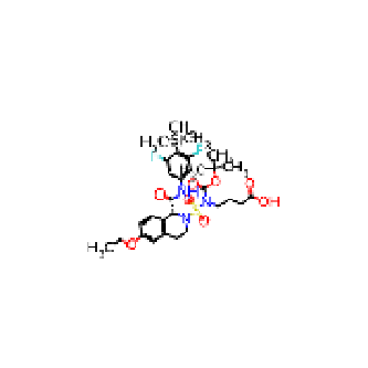 CCOc1ccc2c(c1)CCN(S(=O)(=O)N(CCCC(=O)O)C(=O)OC(C)(C)C)[C@H]2C(=O)Nc1cc(F)c([Si](C)(C)C)c(F)c1